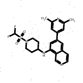 Cc1cc(-c2cc(NC3CCN(S(=O)(=O)C(F)F)CC3)c3cnccc3c2)cc(C)n1